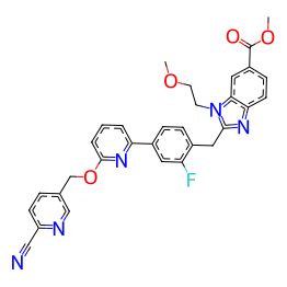 COCCn1c(Cc2ccc(-c3cccc(OCc4ccc(C#N)nc4)n3)cc2F)nc2ccc(C(=O)OC)cc21